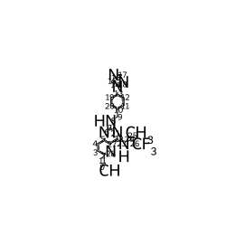 C#Cc1ccc2nc(NCc3ccc(-n4cncn4)cc3)nc(N[C@@H](C)C(F)(F)F)c2n1